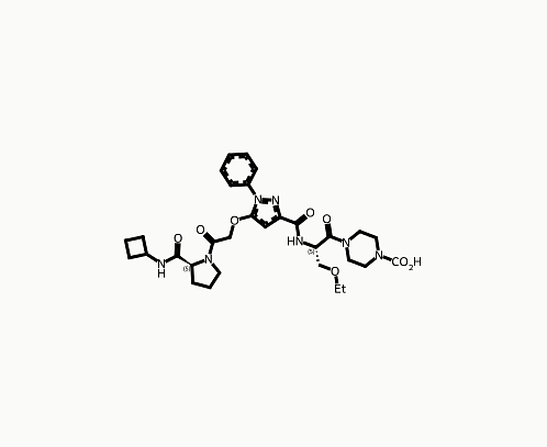 CCOC[C@H](NC(=O)c1cc(OCC(=O)N2CCC[C@H]2C(=O)NC2CCC2)n(-c2ccccc2)n1)C(=O)N1CCN(C(=O)O)CC1